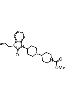 C=CCn1c(=O)n(C2CCN(C3CCN(C(=O)OC)CC3)CC2)c2ccccc21